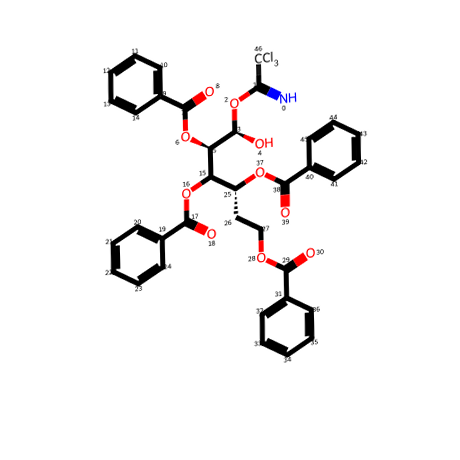 N=C(O[C@@H](O)[C@H](OC(=O)c1ccccc1)C(OC(=O)c1ccccc1)[C@@H](CCOC(=O)c1ccccc1)OC(=O)c1ccccc1)C(Cl)(Cl)Cl